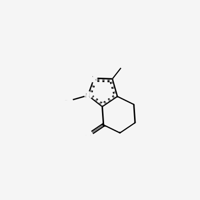 CCn1nc(F)c2c1C(=O)CCC2